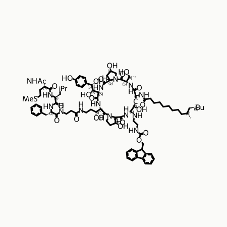 CC[C@H](C)C[C@H](C)CCCCCCCCC(=O)N[C@H]1C[C@@H](O)[C@@H](NCCNC(=O)OCC2c3ccccc3-c3ccccc32)NC(=O)[C@@H]2[C@@H](O)CCN2C(=O)[C@H]([C@H](O)CCNC(=O)CCNC(=O)[C@H](Cc2ccccc2)NC(=O)[C@H](CC(C)C)NC(=O)[C@H](CCSC)NC(C)=O)NC(=O)[C@H]([C@H](O)[C@@H](O)c2ccc(O)cc2)NC(=O)[C@@H]2C[C@@H](O)CN2C(=O)[C@H]([C@@H](C)O)NC1=O